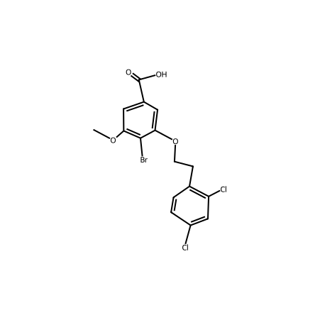 COc1cc(C(=O)O)cc(OCCc2ccc(Cl)cc2Cl)c1Br